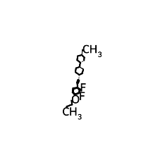 CCCCOc1ccc(C#C[C@H]2CC[C@H]([C@H]3CC[C@H](CC)CC3)CC2)c(F)c1F